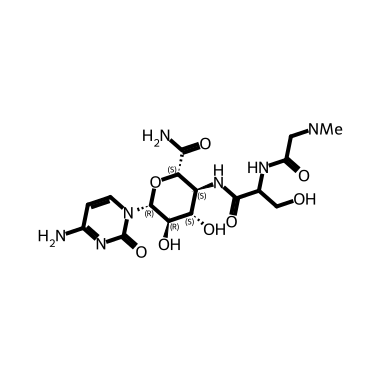 CNCC(=O)NC(CO)C(=O)N[C@H]1[C@H](O)[C@@H](O)[C@H](n2ccc(N)nc2=O)O[C@@H]1C(N)=O